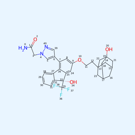 NC(=O)Cn1cc(-c2cc(OCCC34CC5CC(CC(O)(C5)C3)C4)cc3c2-c2ccccc2[C@]3(O)C(F)(F)F)cn1